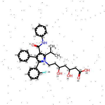 CC(C)c1c(C(=O)Nc2ccccc2)c(-c2ccccc2)c(-c2ccccc2F)n1CCC(O)CC(O)CC(=O)O